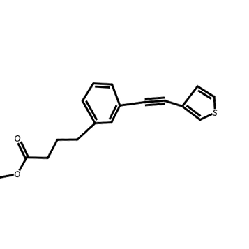 COC(=O)CCCc1cccc(C#Cc2ccsc2)c1